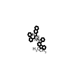 CC1(C)c2ccccc2-c2c1ccc1c2c2ccccc2n1-c1nc(-c2ccccc2)c2c(n1)c1cc3ccccc3cc1n2-c1ccccc1